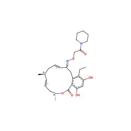 CCc1c(O)cc(O)c2c1CC(=NOCC(=O)N1CCCCC1)/C=C/C[C@H](C)/C=C/C[C@@H](C)OC2=O